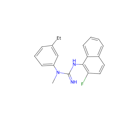 CCc1cccc(N(C)C(=N)Nc2c(F)ccc3ccccc23)c1